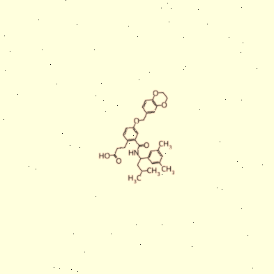 Cc1cc(C)cc(C(CC(C)C)NC(=O)c2cc(OCc3ccc4c(c3)OCCO4)ccc2CCC(=O)O)c1